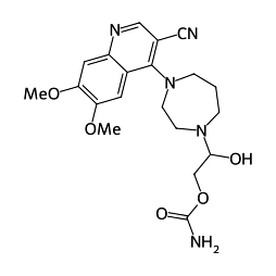 COc1cc2ncc(C#N)c(N3CCCN(C(O)COC(N)=O)CC3)c2cc1OC